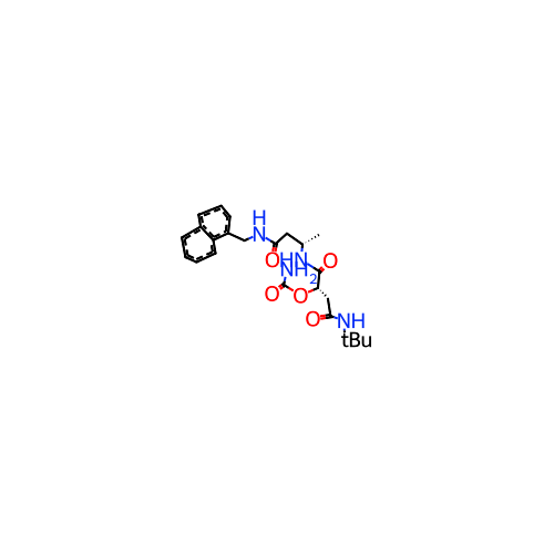 C[C@@H](CC(=O)NCc1cccc2ccccc12)NC(=O)[C@H](CC(=O)NC(C)(C)C)OC(N)=O